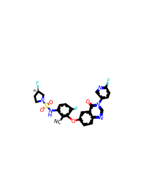 N#Cc1c(NS(=O)(=O)N2CC[C@@H](F)C2)ccc(F)c1Oc1ccc2ncn(-c3ccc(F)nc3)c(=O)c2c1